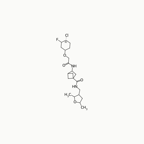 CC1CC(CNC(=O)C23CC(C2)C(NC(=O)COC2CC[C@@H](Cl)C(F)C2)C3)C(C)O1